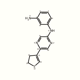 Nc1cccc(Nc2cnc(C3=CSCC3)cn2)c1